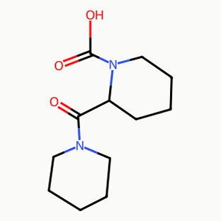 O=C(C1CCCCN1C(=O)O)N1CCCCC1